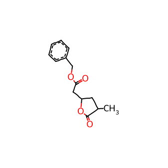 CC1CC(CC(=O)OCc2ccccc2)OC1=O